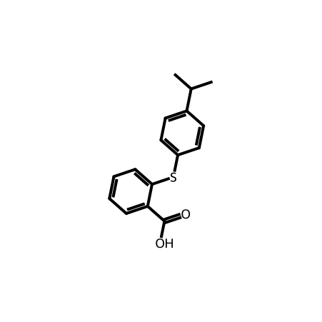 CC(C)c1ccc(Sc2ccccc2C(=O)O)cc1